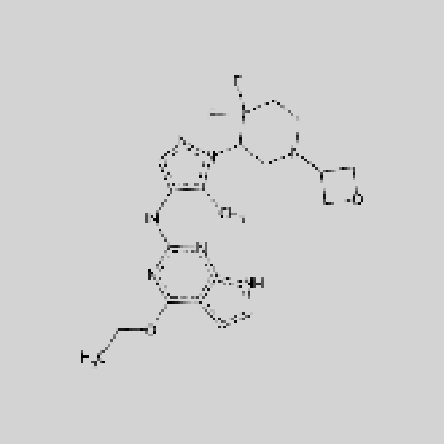 CCOc1nc(Nc2cnn(C3CN(C4COC4)CCC3(F)F)c2C)nc2[nH]ccc12